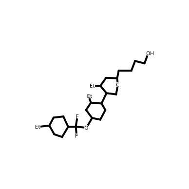 CCC1CCC(C(F)(F)OC2CCC(C3CCC(CCCCO)CC3CC)C(CC)C2)CC1